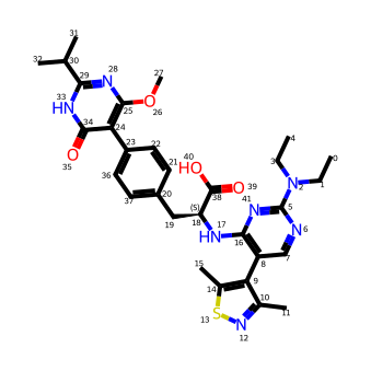 CCN(CC)c1ncc(-c2c(C)nsc2C)c(N[C@@H](Cc2ccc(-c3c(OC)nc(C(C)C)[nH]c3=O)cc2)C(=O)O)n1